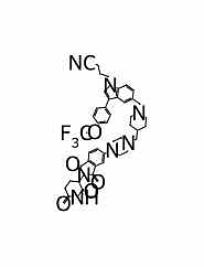 N#CCCCn1cc(-c2ccc(OC(F)(F)F)cc2)c2cc(CN3CCC(CN4CCN(c5ccc6c(c5)C(=O)N(C5CCC(=O)NC5=O)C6=O)CC4)CC3)ccc21